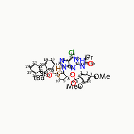 COc1ccc(C(=O)O[C@@H]2CC[SH](CO[Si](c3ccccc3)(c3ccccc3)C(C)(C)C)C2n2cnc3c(Cl)nc(NC(=O)C(C)C)nc32)c(OC)c1